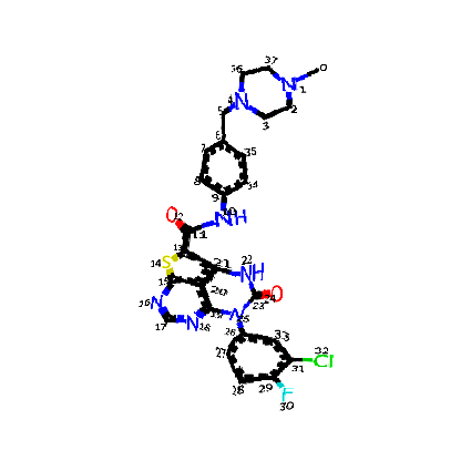 CN1CCN(Cc2ccc(NC(=O)c3sc4ncnc5c4c3NC(=O)N5c3ccc(F)c(Cl)c3)cc2)CC1